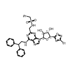 CCc1noc([C@H]2O[C@@H](n3cnc4c(NCC(c5ccccc5)c5ccccc5)nc(CNS(=O)(=O)CC(C)C)nc43)[C@@H](O)[C@@H]2O)n1